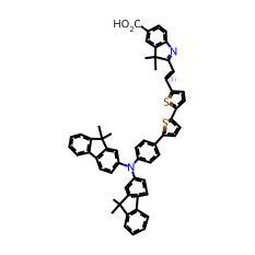 CC1(C)C(/C=C/c2ccc(-c3ccc(-c4ccc(N(c5ccc6c(c5)C(C)(C)c5ccccc5-6)c5ccc6c(c5)C(C)(C)c5ccccc5-6)cc4)s3)s2)=Nc2ccc(C(=O)O)cc21